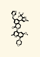 COc1cc(N2CCOCC2)c2nc(C)cc(N3CCc4c(cc(Cn5ccnc5)cc4-c4cn(C)nc4C(F)(F)F)C3=O)c2c1